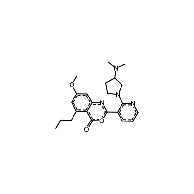 CCCc1cc(OC)cc2nc(-c3cccnc3N3CCC(N(C)C)C3)oc(=O)c12